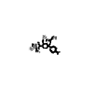 C=CC1CC(CC(=O)O)(c2ccc(F)cc2)CCN1C(=O)OC(C)(C)C